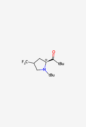 CC(C)(C)C(=O)[C@@H]1CC(C(F)(F)F)CN1C(C)(C)C